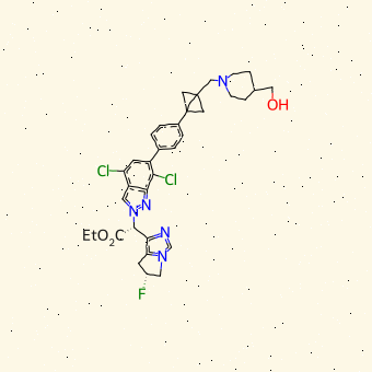 CCOC(=O)[C@@H](c1ncn2c1C[C@@H](F)C2)n1cc2c(Cl)cc(-c3ccc(C45CC(CN6CCC(CO)CC6)(C4)C5)cc3)c(Cl)c2n1